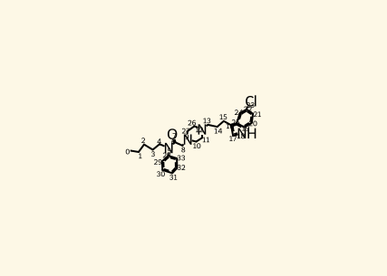 CCCCCN(C(=O)CN1CCN(CCCc2c[nH]c3ccc(Cl)cc23)CC1)c1ccccc1